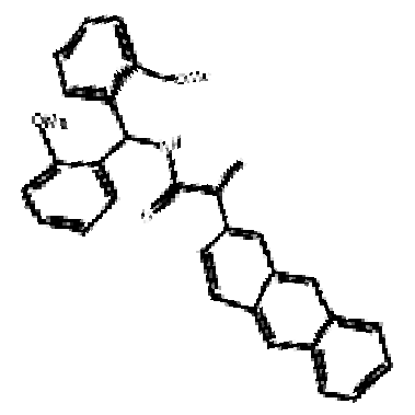 COc1ccccc1C(NC(=O)C(C)c1ccc2cc3ccccc3cc2c1)c1ccccc1OC